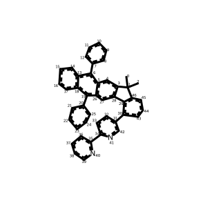 CC1(C)c2cc3c(-c4ccccc4)c4ccccc4c(-c4ccccc4)c3cc2-c2c(-c3ccc(-c4ccccn4)nc3)cccc21